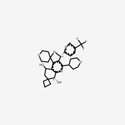 OC1CC2(CCC2)[C@@H](O)c2nc(C3CCOCC3)c3c(c21)C1(CCOCC1)O[C@@H]3c1ccc(C(F)(F)F)cn1